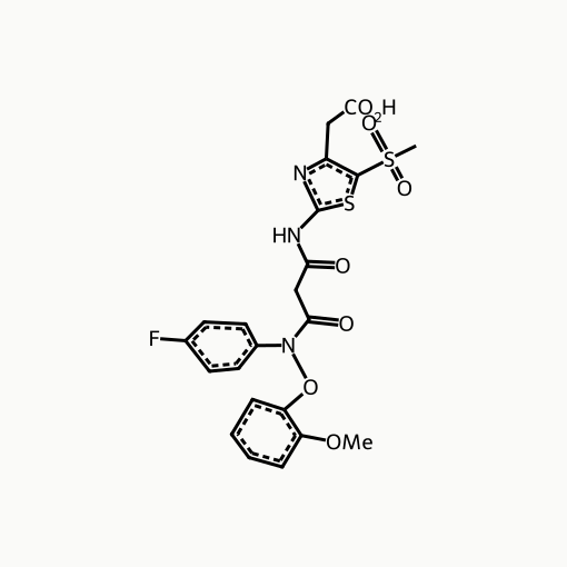 COc1ccccc1ON(C(=O)CC(=O)Nc1nc(CC(=O)O)c(S(C)(=O)=O)s1)c1ccc(F)cc1